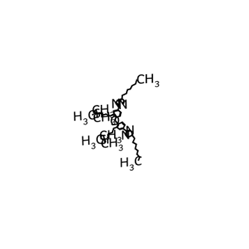 CCCCCCCCc1cnc(-c2ccc(Oc3ccc(-c4ncc(CCCCCCCC)cn4)cc3CCCC[Si](C)(C)C)c(CCCC[Si](C)(C)C)c2)nc1